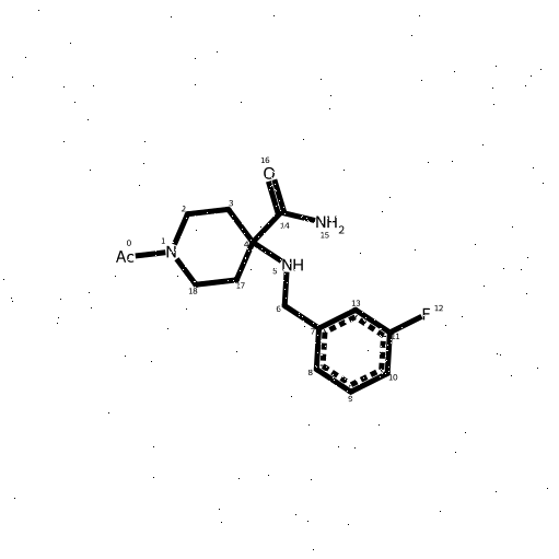 CC(=O)N1CCC(NCc2cccc(F)c2)(C(N)=O)CC1